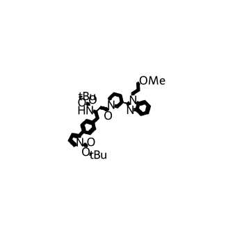 COCCCn1c([C@@H]2CCCN(C(=O)C[C@@H](Cc3ccc(-c4cccn4C(=O)OC(C)(C)C)cc3)NC(=O)OC(C)(C)C)C2)nc2ccccc21